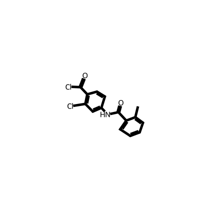 Cc1ccccc1C(=O)Nc1ccc(C(=O)Cl)c(Cl)c1